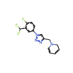 Fc1ccc(-n2cc(CN3C=CC=CC3)nn2)cc1C(F)F